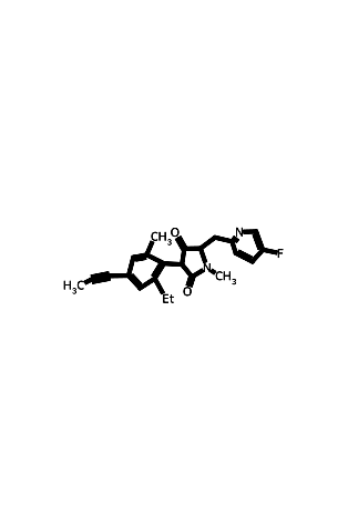 CC#Cc1cc(C)c(C2C(=O)C(Cc3ccc(F)cn3)N(C)C2=O)c(CC)c1